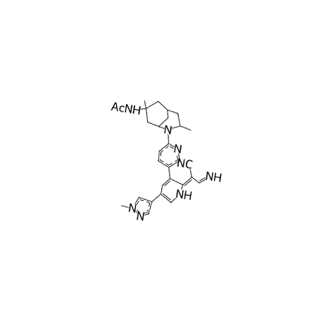 CC(=O)NC1(C)CC2CC(C)N(c3ccc(C4=CC(c5cnn(C)c5)=CN/C4=C(/C#N)C=N)cn3)C(C2)C1